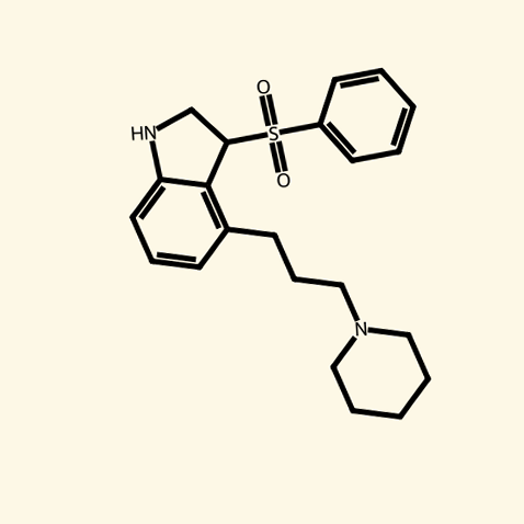 O=S(=O)(c1ccccc1)C1CNc2cccc(CCCN3CCCCC3)c21